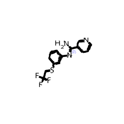 N/C(=N\c1cccc(SCC(F)(F)F)c1)c1cccnc1